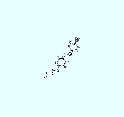 CCCCCc1ccc(CO[C@H]2CC[C@H](Br)CC2)cc1